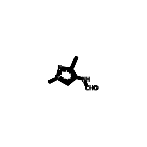 Cc1nn(C)cc1NC=O